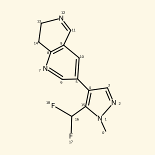 Cn1ncc(-c2cnc3c(c2)C=NCC3)c1C(F)F